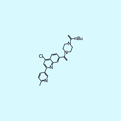 C=C(CCCC)N1CCN(C(=C)c2ccc3c(Cl)cc(-c4ccc(C)nc4)nc3c2)CC1